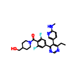 CCc1ncnc(-c2cc(F)c(C(=O)N3CCC(CO)CC3)c(F)c2)c1-c1ccc(NC)nc1